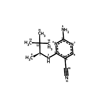 C[C@H](Nc1nc(N)ncc1C#N)C(C)(C)C